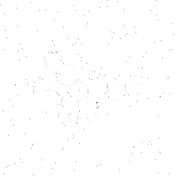 Cc1nn2c(C(C)C)c(C(=O)N3CCC(C(F)F)CC3)ccc2c1-c1c(F)cccc1F